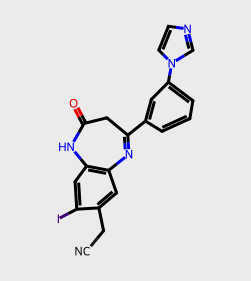 N#CCc1cc2c(cc1I)NC(=O)CC(c1cccc(-n3ccnc3)c1)=N2